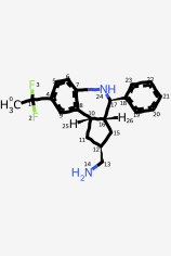 CC(F)(F)c1ccc2c(c1)[C@H]1C[C@H](CN)C[C@H]1[C@H](c1ccccc1)N2